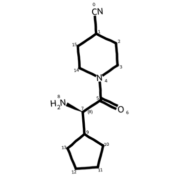 N#CC1CCN(C(=O)[C@H](N)C2CCCC2)CC1